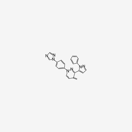 C=C1C=CN(c2ccc(-n3cncn3)cc2)N=C1c1ccnn1-c1ccccc1